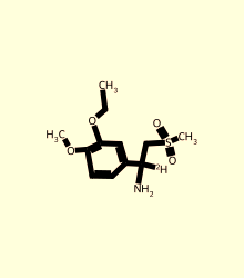 [2H]C(N)(CS(C)(=O)=O)c1ccc(OC)c(OCC)c1